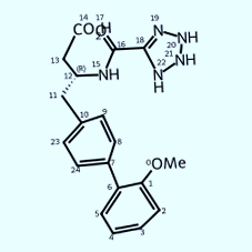 COc1ccccc1-c1ccc(C[C@H](CC(=O)O)NC(=O)C2=NNNN2)cc1